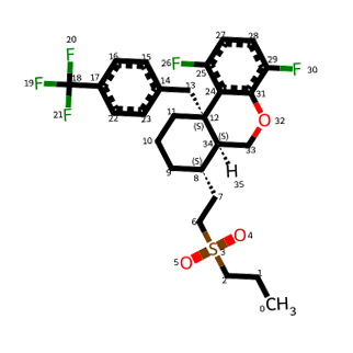 CCCS(=O)(=O)CC[C@@H]1CCC[C@@]2(Cc3ccc(C(F)(F)F)cc3)c3c(F)ccc(F)c3OC[C@@H]12